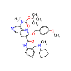 COc1ccc(COc2nc3c(N(C)C(=O)OC(C)(C)C)cncc3cc2C(=O)Nc2ccccc2CN(C)C2CCCCC2)cc1